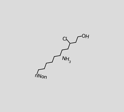 CCCCCCCCCCCCCCCCCC(Cl)CCO.N